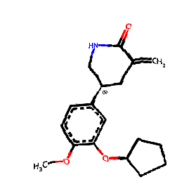 C=C1C[C@@H](c2ccc(OC)c(OC3CCCC3)c2)CNC1=O